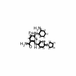 NC(=O)c1cc(F)c(N[C@@H]2CCCC[C@@H]2N)nc1Nc1ccc(N2CCCC2)nc1